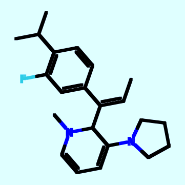 C/C=C(\c1ccc(C(C)C)c(F)c1)C1C(N2CCCC2)=CC=CN1C